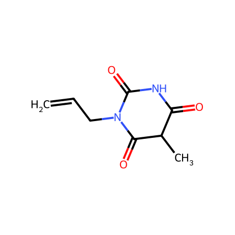 C=CCN1C(=O)NC(=O)C(C)C1=O